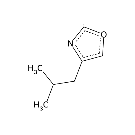 CC(C)Cc1co[c]n1